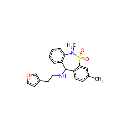 Cc1ccc2c(c1)S(=O)(=O)N(C)c1ccccc1C2NCCc1ccoc1